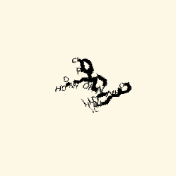 CNCC(CC1CCCOC1)NC(=O)N1CCC[C@@H]([C@@](O)(CCCNC(=O)O)c2cccc(Cl)c2F)C1